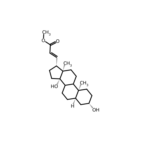 COC(=O)/C=C/[C@H]1CC[C@]2(O)C3CC[C@@H]4C[C@@H](O)CC[C@]4(C)C3CC[C@]12C